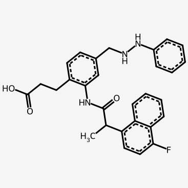 CC(C(=O)Nc1cc(CNNc2ccccc2)ccc1CCC(=O)O)c1ccc(F)c2ccccc12